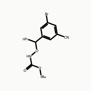 CCCC(ONC(=O)OC(C)(C)C)c1cc(Br)cc(C#N)c1